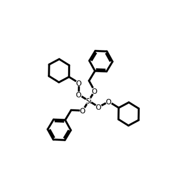 c1ccc(CO[Si](OCc2ccccc2)(OOC2CCCCC2)OOC2CCCCC2)cc1